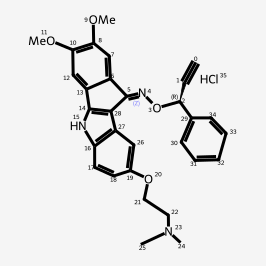 C#C[C@H](O/N=C1/c2cc(OC)c(OC)cc2-c2[nH]c3ccc(OCCN(C)C)cc3c21)c1ccccc1.Cl